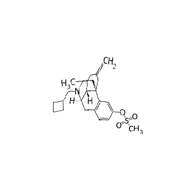 C=C1CC(C)[C@H]2[C@H]3Cc4ccc(OS(C)(=O)=O)cc4[C@@]2(CCN3CC2CCC2)C1